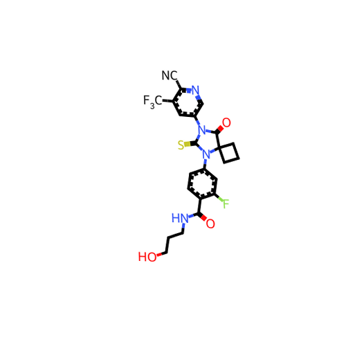 N#Cc1ncc(N2C(=O)C3(CCC3)N(c3ccc(C(=O)NCCCO)c(F)c3)C2=S)cc1C(F)(F)F